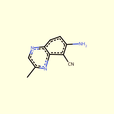 Cc1cnc2ccc(N)c(C#N)c2n1